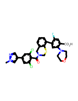 Cn1cc(-c2cc(Cl)c(C(=O)N3CSc4c(cccc4-c4cc(N5CCOCC5)c(C(=O)O)cc4F)C3)c(Cl)c2)cn1